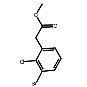 COC(=O)Cc1cccc(Br)c1Cl